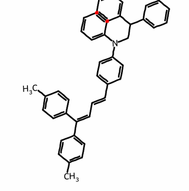 Cc1ccc(C(=C/C=C/c2ccc(N(CC(c3ccccc3)c3ccccc3)c3ccccc3)cc2)c2ccc(C)cc2)cc1